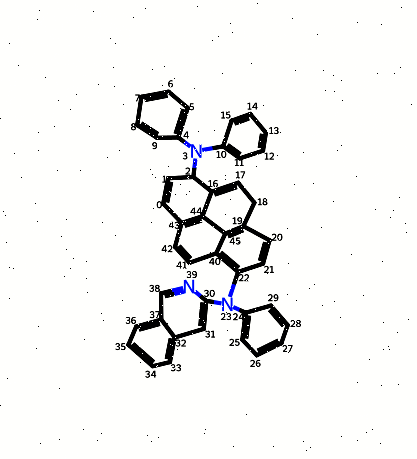 C1=CC(N(c2ccccc2)c2ccccc2)C2=CCc3ccc(N(c4ccccc4)c4cc5ccccc5cn4)c4ccc1c2c34